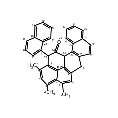 Cc1cc(C)c2c(C)cc3c4c2c1C(c1cccc2ccccc12)C(=O)C4c1c(ccc2ccccc12)C3